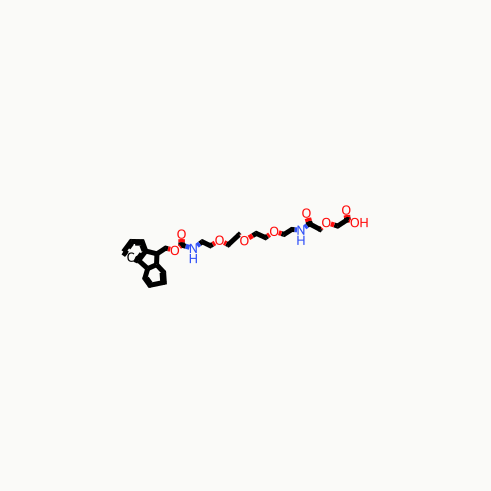 O=C(O)COCC(=O)NCCOCCOCCOCCNC(=O)OCC1c2ccccc2C2C=CC=CC21